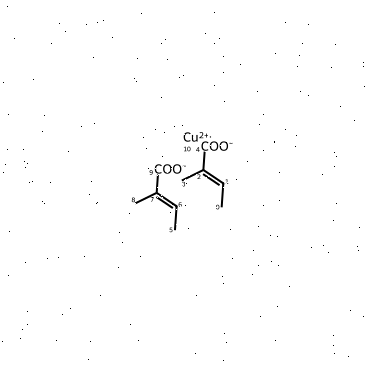 CC=C(C)C(=O)[O-].CC=C(C)C(=O)[O-].[Cu+2]